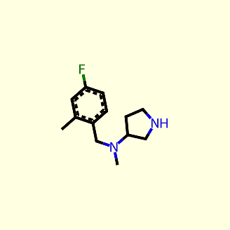 Cc1cc(F)ccc1CN(C)C1CCNC1